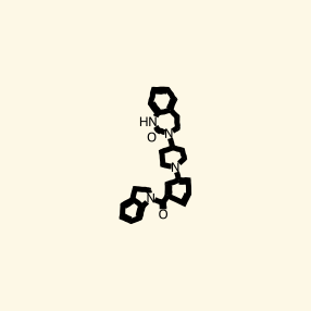 O=C(c1cccc(N2CCC(N3CCc4ccccc4NC3=O)CC2)c1)N1CCc2ccccc21